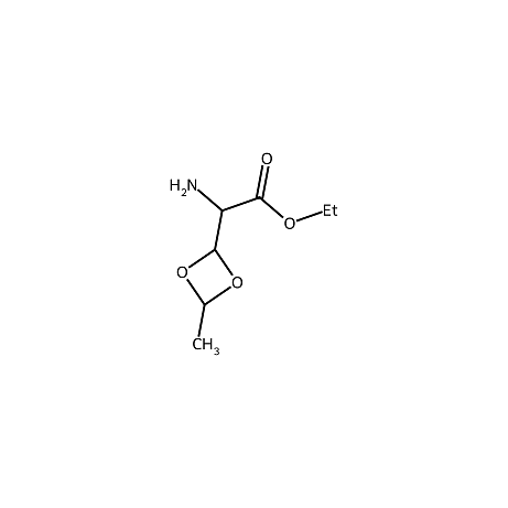 CCOC(=O)C(N)C1OC(C)O1